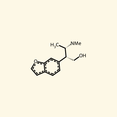 CN[C@@H](C)[C@H](CO)c1ccc2ccoc2c1